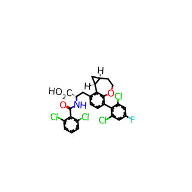 O=C(N[C@@H](Cc1ccc(-c2c(Cl)cc(F)cc2Cl)c2c1[C@H]1C[C@H]1CCO2)C(=O)O)c1c(Cl)cccc1Cl